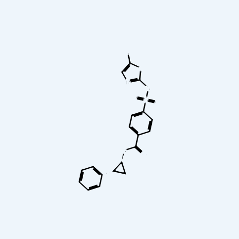 O=C(N[C@H]1C[C@@H]1c1ccccc1)c1ccc(S(=O)(=O)Nc2ncc(Cl)s2)cc1